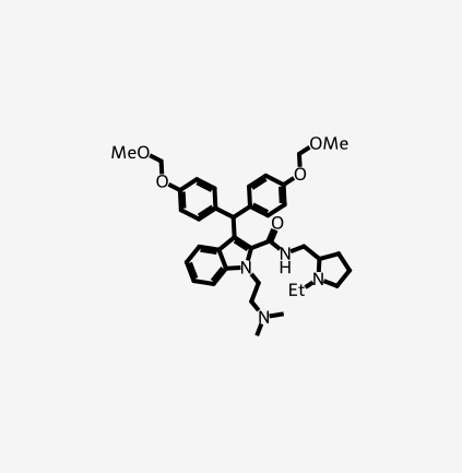 CCN1CCCC1CNC(=O)c1c(C(c2ccc(OCOC)cc2)c2ccc(OCOC)cc2)c2ccccc2n1CCN(C)C